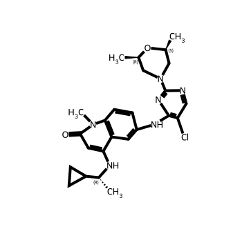 C[C@@H]1CN(c2ncc(Cl)c(Nc3ccc4c(c3)c(N[C@H](C)C3CC3)cc(=O)n4C)n2)C[C@H](C)O1